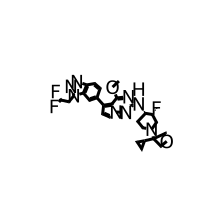 COc1nc(N[C@H]2CCN(C3(C4CC4)COC3)C[C@H]2F)nn2ccc(-c3ccc4nnn(CC(F)F)c4c3)c12